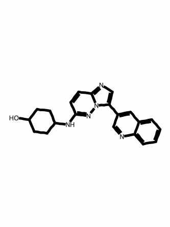 OC1CCC(Nc2ccc3ncc(-c4cnc5ccccc5c4)n3n2)CC1